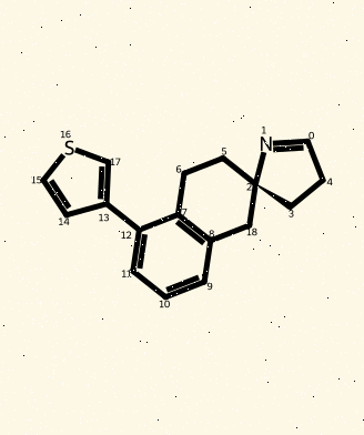 C1=N[C@@]2(CC1)CCc1c(cccc1-c1ccsc1)C2